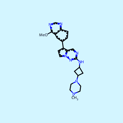 COc1ncnc2ccc(-c3ccn4nc(NC5CC(N6CCN(C)CC6)C5)ncc34)cc12